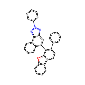 c1ccc(-c2ccc3c(oc4ccccc43)c2-c2cc3nn(-c4ccccc4)nc3c3ccccc23)cc1